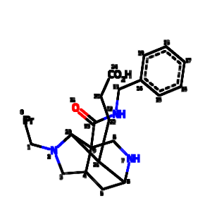 CC(C)CN1CC2CC3NCC2(C(=O)NCc2ccccc2)C1C3CCC(=O)O